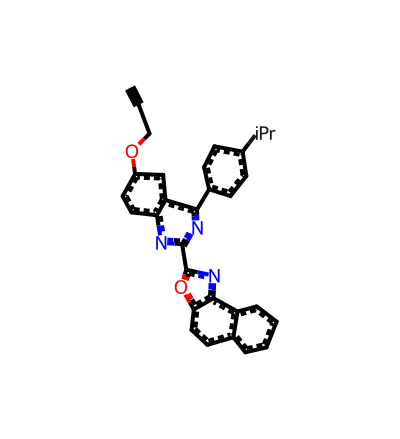 C#CCOc1ccc2nc(-c3nc4c(ccc5ccccc54)o3)nc(-c3ccc(C(C)C)cc3)c2c1